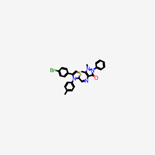 Cc1ccc(N2C(c3ccc(Br)cc3)=CSC2/C=N\c2c(C)n(C)n(-c3ccccc3)c2=O)cc1